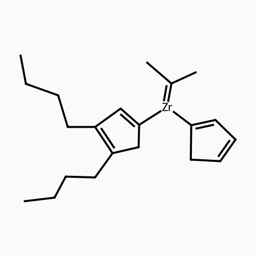 CCCCC1=C(CCCC)C[C]([Zr]([C]2=CC=CC2)=[C](C)C)=C1